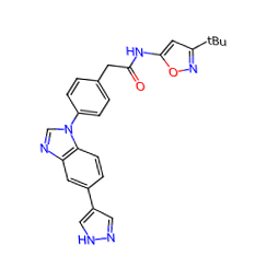 CC(C)(C)c1cc(NC(=O)Cc2ccc(-n3cnc4cc(-c5cn[nH]c5)ccc43)cc2)on1